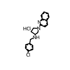 Cl.Clc1ccc(CNC2CCN(c3ccc4ccccc4n3)C2)cc1